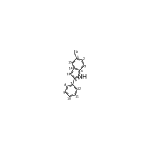 Ic1ccc2[nH]c(-c3ccccc3)cc2c1